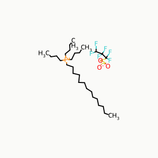 CCCCCCCCCCCCCC[P+](CCCC)(CCCC)CCCC.O=S(=O)([O-])C(F)(F)C(F)(F)C(F)F